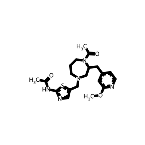 COc1cc(CC2CN(Cc3cnc(NC(C)=O)s3)CCCN2C(C)=O)ccn1